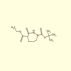 CCOC(=O)C1CCCN(C(=O)OC(C)(C)C)NC1=O